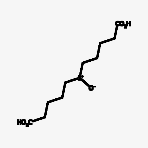 O=C(O)CCCC[S+]([O-])CCCCC(=O)O